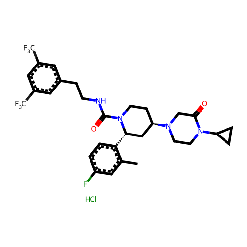 Cc1cc(F)ccc1[C@H]1C[C@H](N2CCN(C3CC3)C(=O)C2)CCN1C(=O)NCCc1cc(C(F)(F)F)cc(C(F)(F)F)c1.Cl